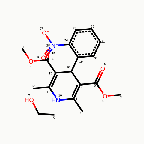 CCO.COC(=O)C1=C(C)NC(C)=C(C(=O)OC)C1c1ccccc1[N+](=O)[O-]